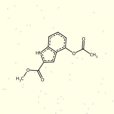 COC(=O)c1cc2c(OC(C)=O)cccc2[nH]1